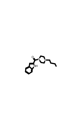 CCCCN1CCN(C(=O)c2cc3ccccc3[nH]2)CC1